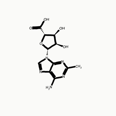 Cc1nc(N)c2ncn([C@@H]3O[C@H](C(=O)O)[C@@H](O)[C@H]3O)c2n1